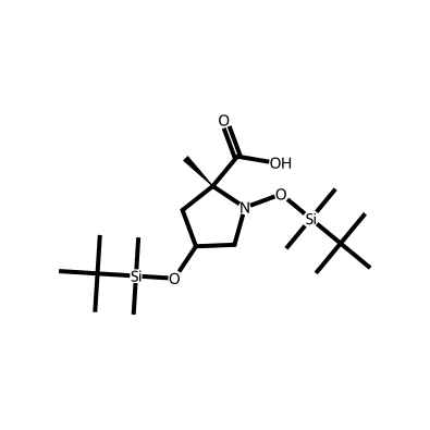 CC(C)(C)[Si](C)(C)OC1CN(O[Si](C)(C)C(C)(C)C)[C@@](C)(C(=O)O)C1